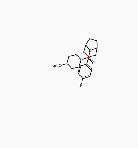 O=C(O)C1CCN(C(=O)N2C3CCC2CC(c2ccc(F)cc2)C3)CC1